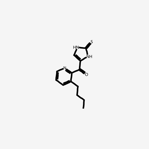 CCCCc1cccnc1C(=O)c1c[nH]c(=S)[nH]1